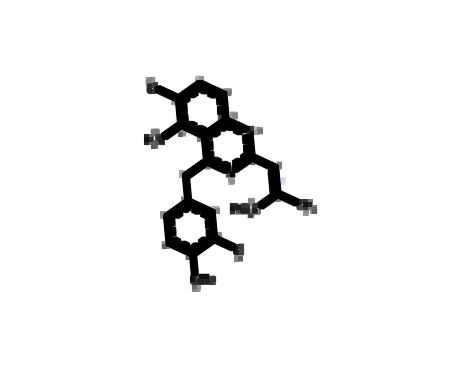 CCOC(=O)/C(C)=C\c1nc(Cc2ccc(OC)c(Cl)c2)c2c(N)c(Cl)ccc2n1